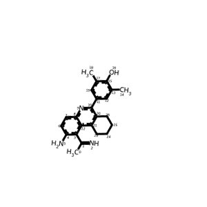 CC(=N)c1c(N)ccc2nc(-c3cc(C)c(O)c(C)c3)c3c(c12)CCCC3